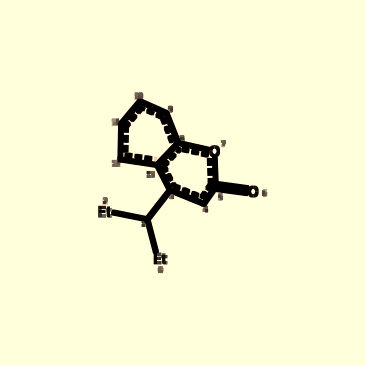 CCC(CC)c1cc(=O)oc2ccccc12